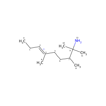 CC/C=C(\C)CCC(C)C(C)(C)N